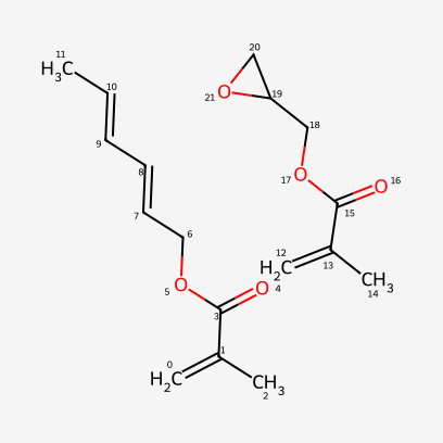 C=C(C)C(=O)OC/C=C/C=C/C.C=C(C)C(=O)OCC1CO1